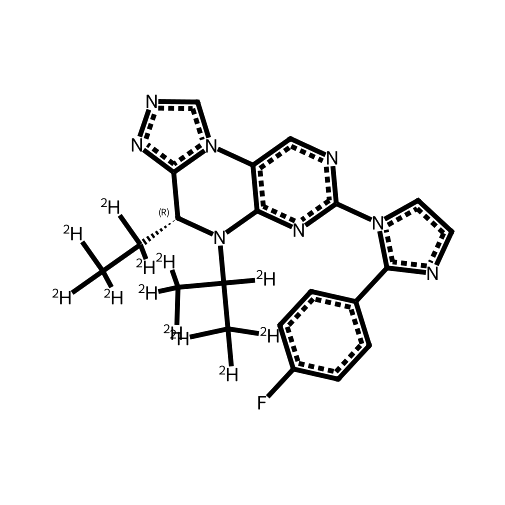 [2H]C([2H])([2H])C([2H])([2H])[C@@H]1c2nncn2-c2cnc(-n3ccnc3-c3ccc(F)cc3)nc2N1C([2H])(C([2H])([2H])[2H])C([2H])([2H])[2H]